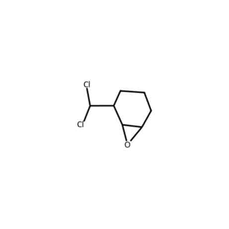 ClC(Cl)C1CCCC2OC21